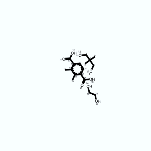 CC(C)(CO)CO.Cc1c(C(=O)O)ccc(C(=O)O)c1C.OCCO